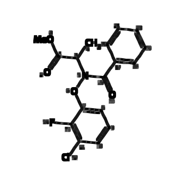 COC(=O)C(C)N(Oc1cccc(Cl)c1F)C(=O)c1ccccc1